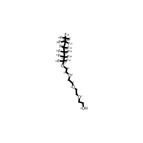 OCCOCCOCCOCCOC(F)(F)C(F)(F)C(F)(F)C(F)(F)C(F)(F)C(F)(F)F